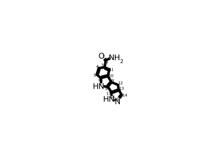 NC(=O)c1ccc2[nH]c3c(c2c1)Cc1cn[nH]c1-3